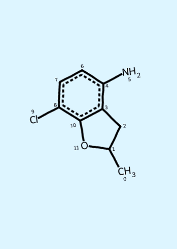 CC1Cc2c(N)ccc(Cl)c2O1